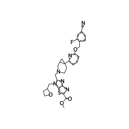 COC(=O)c1nc2nc(CN3CCC4(c5cccc(OCc6ccc(C#N)cc6F)n5)CC4C3)n(CC3CCO3)c2s1